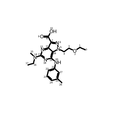 CCOCCn1nc(C(=O)O)c2nc(N(C)CC)nc(Nc3cccc(C)c3)c21